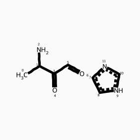 CC(N)C(=O)C=O.c1c[nH]cn1